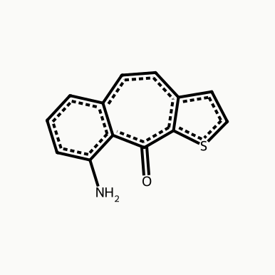 Nc1cccc2ccc3ccsc3c(=O)c12